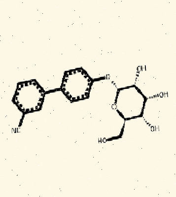 N#Cc1cccc(-c2ccc(O[C@H]3O[C@H](CO)[C@@H](O)[C@@H](O)[C@H]3O)cc2)c1